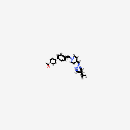 CC(=O)[C@H]1CC[C@H](c2ccc(CN3CCC(Cn4cc(C(C)C)cn4)CC3)cc2)CC1